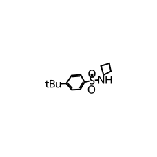 CC(C)(C)c1ccc(S(=O)(=O)NC2CCC2)cc1